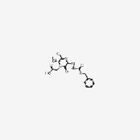 Cc1c(Cl)nc(NNC(=O)OCc2ccccc2)c(=O)n1CC(=O)O